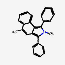 Cc1cc2c(-c3ccccc3)n(C)c(-c3ccccc3)c2c2ccccc12